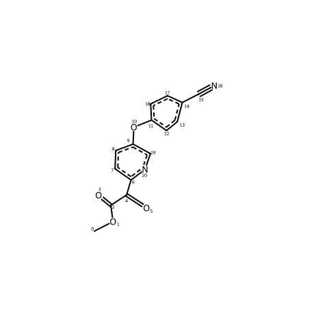 COC(=O)C(=O)c1ccc(Oc2ccc(C#N)cc2)cn1